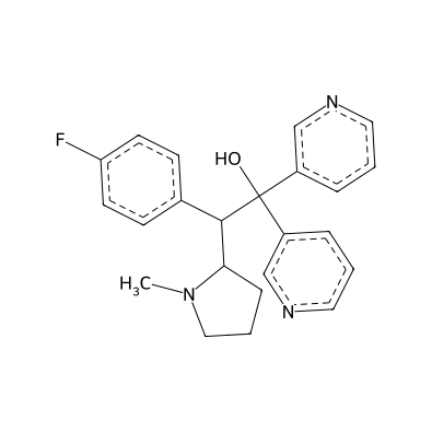 CN1CCCC1C(c1ccc(F)cc1)C(O)(c1cccnc1)c1cccnc1